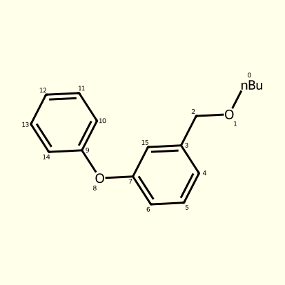 CCCCOCc1cccc(Oc2ccccc2)c1